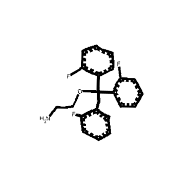 NCCOC(c1ccccc1F)(c1ccccc1F)c1ccccc1F